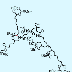 CCCCCCCCCCCOC(=O)CCCC(CN(CCCNC(=O)CC(C)(O)CC(=O)NCCCN(CC(CCCCCC(=O)OC(CCCCCCCC)CCCCCCCC)O[Si](C)(C)C(C)(C)C)CC(CCCC(=O)OCCCCCCCCCCC)O[Si](C)(C)C(C)(C)C)CC(CCCCCC(=O)OC(CCCCCCCC)CCCCCCCC)O[Si](C)(C)C(C)(C)C)O[Si](C)(C)C(C)(C)C